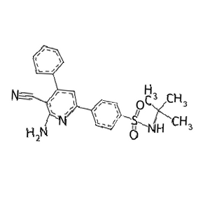 CC(C)(C)NS(=O)(=O)c1ccc(-c2cc(-c3ccccc3)c(C#N)c(N)n2)cc1